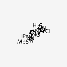 [CH2]c1nc(Cl)cc2c1CN(c1cccc(-c3nnc(SC)n3C(C)C)n1)C2=O